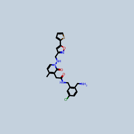 Cc1ccn(NCc2cc(-c3cccs3)on2)c(=O)c1CC(=O)NCc1cc(Cl)ccc1CN